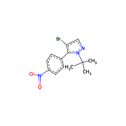 CC(C)(C)n1ncc(Br)c1-c1ccc([N+](=O)[O-])cc1